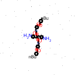 CCCCC1CCC(C(=O)Oc2ccc(/C=C/C(=O)OCC(COC(=O)/C=C/c3ccc(OC(=O)C4CCC(CCCC)CC4)cc3)(Cc3ccc(N)cc3)Cc3ccc(N)cc3)cc2)CC1